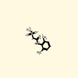 Cc1cccc(C)c1NC(=O)CS(C)(=O)=O